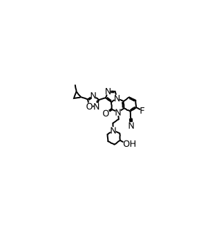 CC1CC1c1nc(-c2ncn3c2c(=O)n(CCN2CCCC(O)C2)c2c(C#N)c(F)ccc23)no1